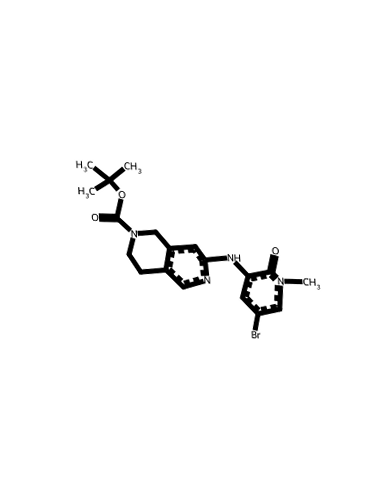 Cn1cc(Br)cc(Nc2cc3c(cn2)CCN(C(=O)OC(C)(C)C)C3)c1=O